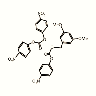 COc1cc(COC(=O)Oc2ccc([N+](=O)[O-])cc2)cc(OC)c1.O=C(Oc1ccc([N+](=O)[O-])cc1)Oc1ccc([N+](=O)[O-])cc1